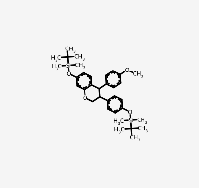 COc1ccc(C2c3ccc(O[Si](C)(C)C(C)(C)C)cc3OCC2c2ccc(O[Si](C)(C)C(C)(C)C)cc2)cc1